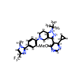 [2H]C([2H])([2H])n1nc(-c2c(OC)ncnc2C2CC2)c2c1CCN(c1ccc(-c3nc(C(F)(F)F)cn3C(C)C)cc1)C2